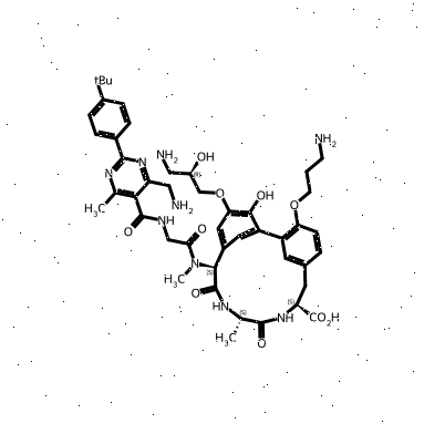 Cc1nc(-c2ccc(C(C)(C)C)cc2)nc(CN)c1C(=O)NCC(=O)N(C)[C@@H]1C(=O)N[C@@H](C)C(=O)N[C@H](C(=O)O)Cc2ccc(OCCCN)c(c2)-c2cc1cc(OC[C@H](O)CN)c2O